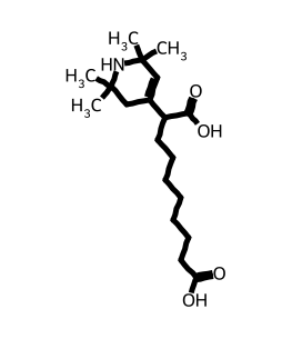 CC1(C)C=C(C(CCCCCCCC(=O)O)C(=O)O)CC(C)(C)N1